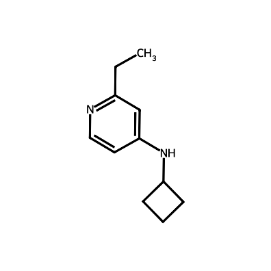 CCc1cc(NC2CCC2)ccn1